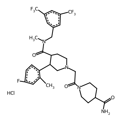 Cc1cc(F)ccc1C1CN(CC(=O)N2CCC(C(N)=O)CC2)CCC1C(=O)N(C)Cc1cc(C(F)(F)F)cc(C(F)(F)F)c1.Cl